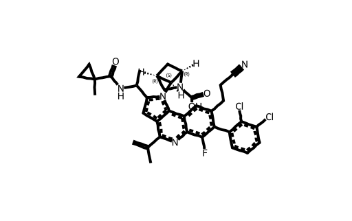 C=C(C)c1nc2c(F)c(-c3cccc(Cl)c3Cl)c(CCC#N)cc2c2c1cc(C(C)NC(=O)C1(C)CC1)n2[C@H]1[C@@H]2C[C@H]1N(C(=O)O)C2